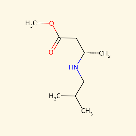 COC(=O)C[C@H](C)NCC(C)C